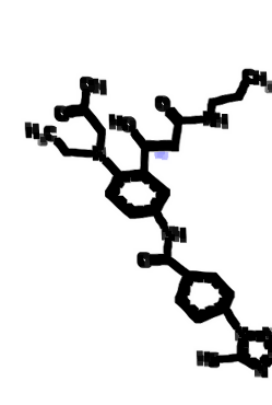 CCCNC(=O)/C=C(\O)c1cc(NC(=O)c2ccc(-n3nnnc3S)cc2)ccc1N(CC)CC(=O)O